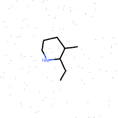 C[CH]C1NCCCC1C